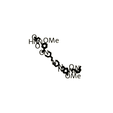 COc1cc2nn(C3CCN(CCC4CCN(C(=O)c5ccc(OC)c(N6CCC(=O)NC6=O)c5)CC4)CC3)cc2cc1NC(=O)c1cccc(C)n1